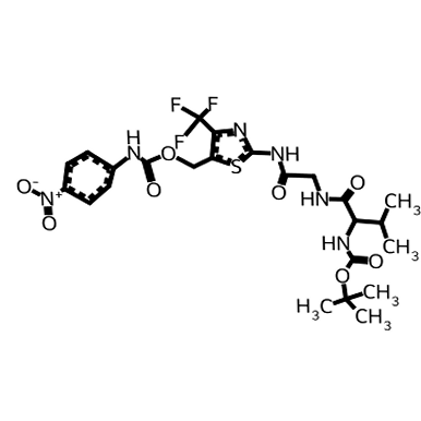 CC(C)C(NC(=O)OC(C)(C)C)C(=O)NCC(=O)Nc1nc(C(F)(F)F)c(COC(=O)Nc2ccc([N+](=O)[O-])cc2)s1